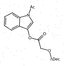 CCCCCCCCCCOCC(=O)Oc1cn(C(C)=O)c2ccccc12